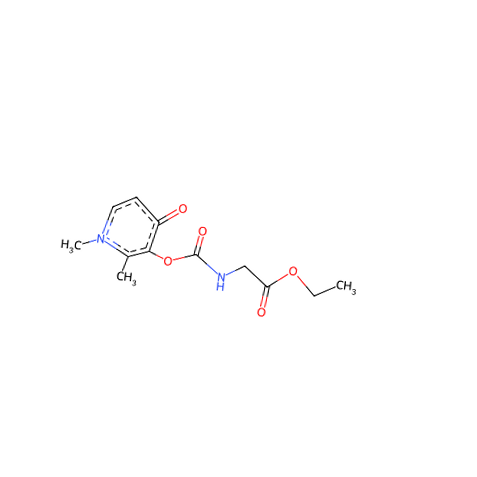 CCOC(=O)CNC(=O)Oc1c(C)n(C)ccc1=O